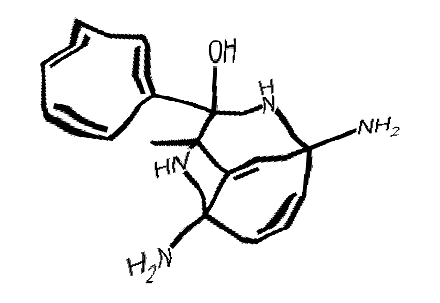 CC1=CC2(N)C=CC1(N)NC(O)(c1ccccc1)N2